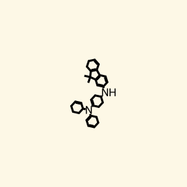 CC1(C)C2=C(C=CCC2)c2ccc(NC3CC=C(N(C4=CC=CCC4)C4C=CCCC4)CC3)cc21